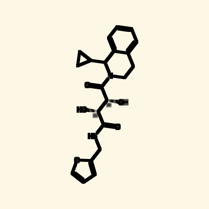 O=C(NCc1ccco1)[C@H](O)[C@@H](O)C(=O)N1CCc2ccccc2C1C1CC1